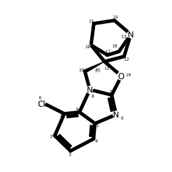 Clc1cccc2nc3n(c12)C[C@@]1(CN2CCC1CC2)O3